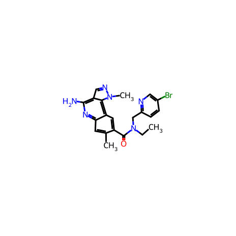 CCN(Cc1ccc(Br)cn1)C(=O)c1cc2c(cc1C)nc(N)c1cnn(C)c12